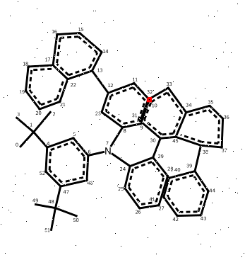 CC(C)(C)c1cc(N(c2cccc(-c3cccc4ccccc34)c2)c2ccccc2-c2cccc3cccc(-c4ccccc4)c23)cc(C(C)(C)C)c1